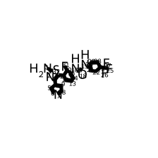 Nc1nc(-c2ccncc2)c(C2C=CC=C(NC(=O)NC3=CCC(C(F)(F)F)C=C3)C2F)s1